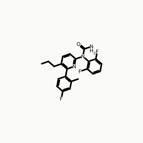 CCCc1ccc(N(C(N)=O)c2c(F)cccc2F)nc1-c1ccc(F)cc1C